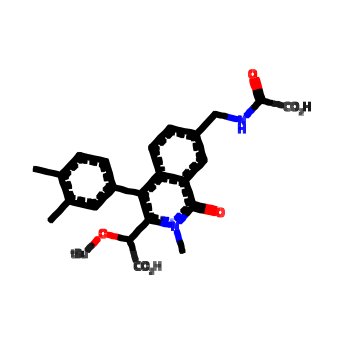 Cc1ccc(-c2c(C(OC(C)(C)C)C(=O)O)n(C)c(=O)c3cc(CNC(=O)C(=O)O)ccc23)cc1C